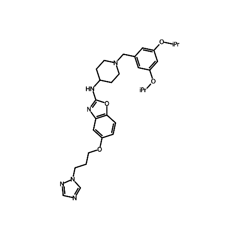 CC(C)Oc1cc(CN2CCC(Nc3nc4cc(OCCCn5cncn5)ccc4o3)CC2)cc(OC(C)C)c1